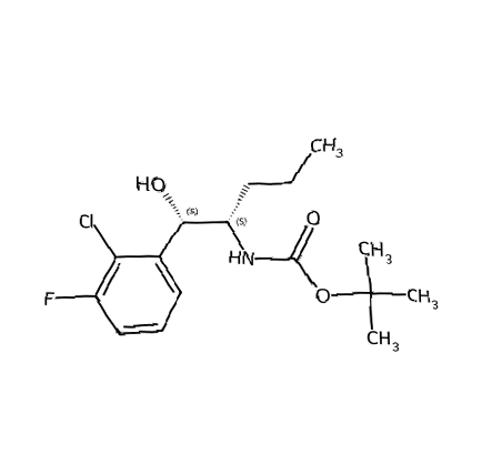 CCC[C@H](NC(=O)OC(C)(C)C)[C@@H](O)c1cccc(F)c1Cl